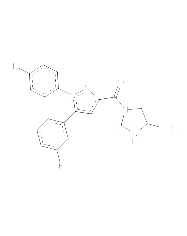 O=CC1CN(C(=O)c2cc(-c3cccc(F)c3)n(-c3ccc(F)cc3)n2)CN1